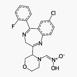 [O-][N+](O)=CN1CCOCC1C1=Nc2ccc(Cl)cc2C(c2ccccc2F)=NC1